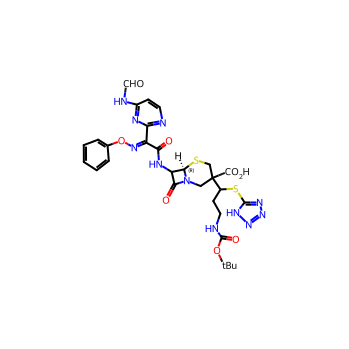 CC(C)(C)OC(=O)NCCC(Sc1nnn[nH]1)C1(C(=O)O)CS[C@@H]2C(NC(=O)C(=NOc3ccccc3)c3nccc(NC=O)n3)C(=O)N2C1